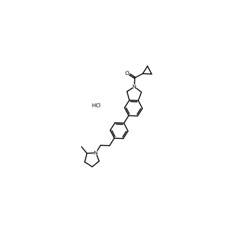 CC1CCCN1CCc1ccc(-c2ccc3c(c2)CN(C(=O)C2CC2)C3)cc1.Cl